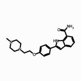 CN1CCN(CCOc2ccc(-c3cc4cccc(C(N)=O)c4[nH]3)cc2)CC1